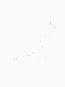 CC(C)(C)c1cc(NC(=O)Nc2cccc(Oc3cccnc3)c2)n(-c2ccc3c(c2)CC(C(N)=O)NC3)n1